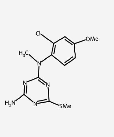 COc1ccc(N(C)c2nc(N)nc(SC)n2)c(Cl)c1